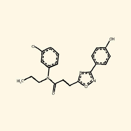 CCCN(C(=O)CCc1nc(-c2ccc(O)cc2)no1)c1cccc(Cl)c1